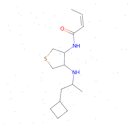 C/C=C\C(=O)NC1CSCC1NC(C)CC1CCC1